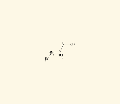 CCNCCCl.Cl